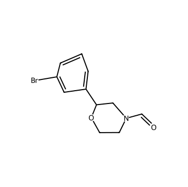 O=CN1CCOC(c2cccc(Br)c2)C1